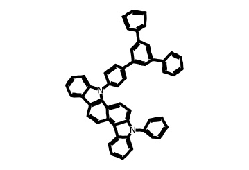 c1ccc(-c2cc(-c3ccccc3)cc(-c3ccc(-n4c5ccccc5c5ccc6c(ccc7c6c6ccccc6n7-c6ccccc6)c54)cc3)c2)cc1